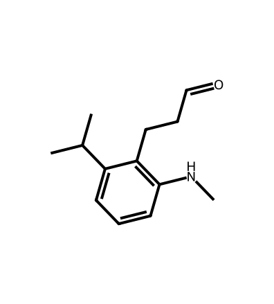 CNc1cccc(C(C)C)c1CCC=O